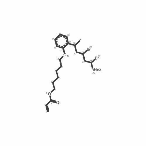 C=CC(=O)OCCCCCCOc1ccccc1C(C)CC(Br)CC(Br)CCCCCC